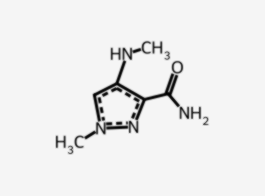 CNc1cn(C)nc1C(N)=O